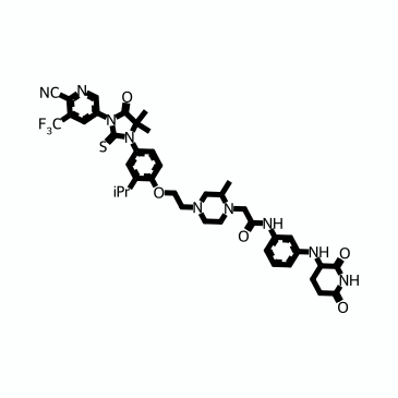 CC(C)c1cc(N2C(=S)N(c3cnc(C#N)c(C(F)(F)F)c3)C(=O)C2(C)C)ccc1OCCN1CCN(CC(=O)Nc2cccc(NC3CCC(=O)NC3=O)c2)C(C)C1